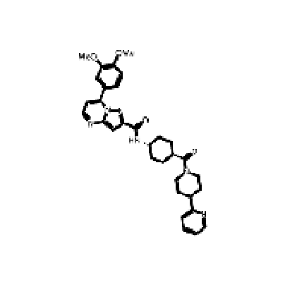 COc1ccc(-c2ccnc3cc(C(=O)N[C@H]4CC[C@H](C(=O)N5CCC(c6ccccn6)CC5)CC4)nn23)cc1OC